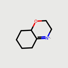 C1CCC2OCC[N+]=C2C1